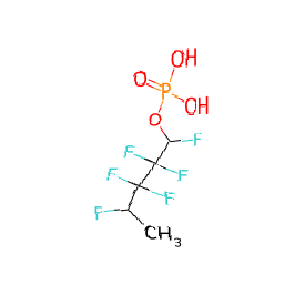 CC(F)C(F)(F)C(F)(F)C(F)OP(=O)(O)O